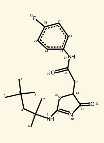 CC(C)(C)CC(C)(C)NC1=NC(=O)C(CC(=O)Nc2ccc(F)cc2)S1